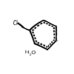 Clc1cc[c]cc1.O